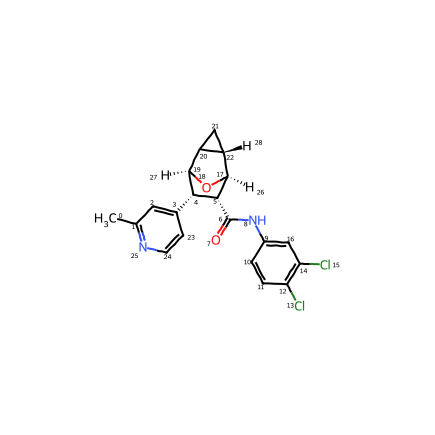 Cc1cc([C@H]2[C@@H](C(=O)Nc3ccc(Cl)c(Cl)c3)[C@H]3O[C@@H]2C2C[C@@H]23)ccn1